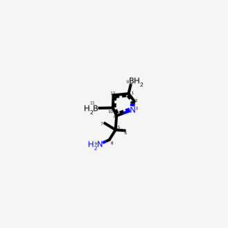 Bc1cnc(C(C)(C)CN)c(B)c1